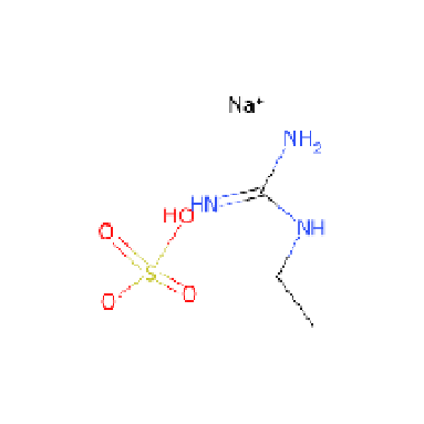 CCNC(=N)N.O=S(=O)([O-])O.[Na+]